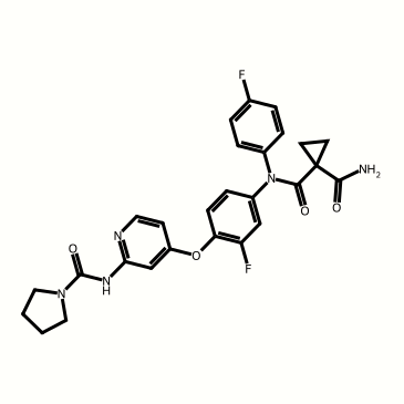 NC(=O)C1(C(=O)N(c2ccc(F)cc2)c2ccc(Oc3ccnc(NC(=O)N4CCCC4)c3)c(F)c2)CC1